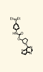 CCN(CC)c1ccc(NC(=O)OC2CCN(c3ncnc4ccsc34)C2)cc1